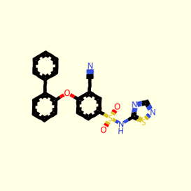 N#Cc1cc(S(=O)(=O)Nc2ncns2)ccc1Oc1ccccc1-c1ccccc1